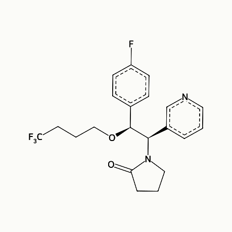 O=C1CCCN1[C@H](c1cccnc1)[C@@H](OCCCC(F)(F)F)c1ccc(F)cc1